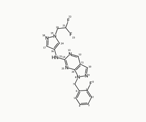 Fc1ccccc1Cn1ncc2cnc(Nc3cnn(CC(F)F)c3)nc21